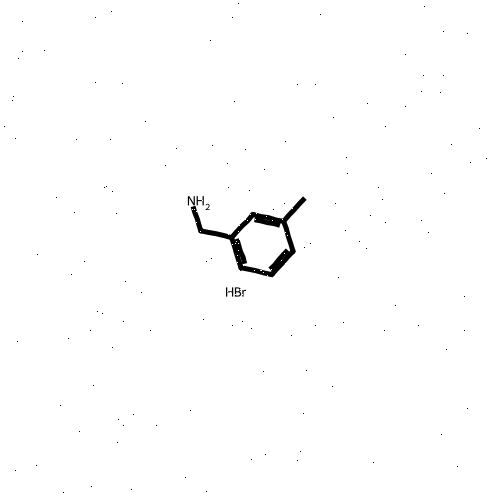 Br.Cc1cccc(CN)c1